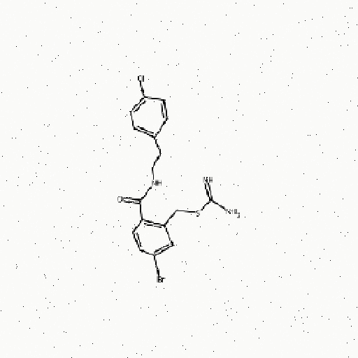 N=C(N)SCc1cc(Br)ccc1C(=O)NCCc1ccc(Cl)cc1